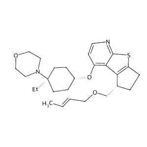 C/C=C/COC[C@H]1CCc2sc3nccc(O[C@H]4CC[C@](CC)(N5CCOCC5)CC4)c3c21